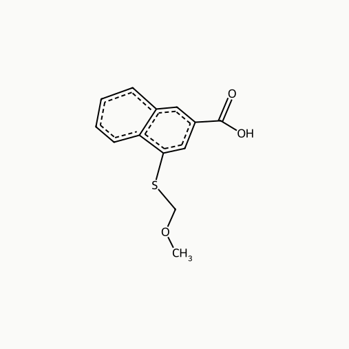 COCSc1cc(C(=O)O)cc2ccccc12